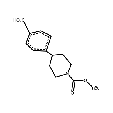 CCCCOC(=O)N1CCC(c2ccc(C(=O)O)cc2)CC1